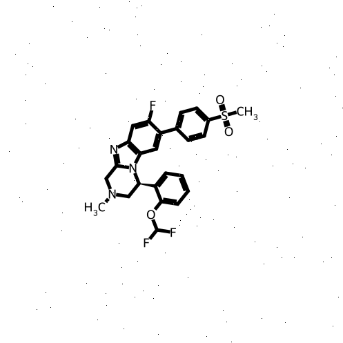 CN1Cc2nc3cc(F)c(-c4ccc(S(C)(=O)=O)cc4)cc3n2[C@@H](c2ccccc2OC(F)F)C1